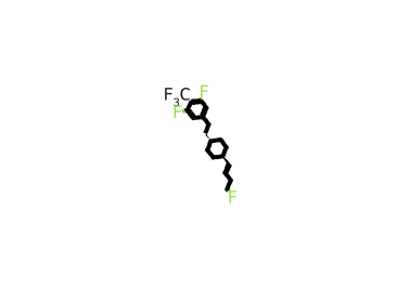 FCCC=C[C@H]1CC[C@H](CCc2cc(F)c(C(F)(F)F)c(F)c2)CC1